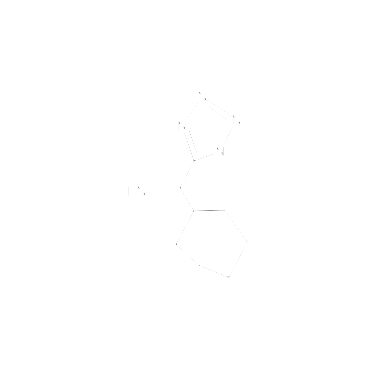 N[C@H](c1nnn[nH]1)C1CCCCC1